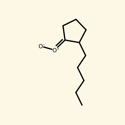 CCCCCC1CCCC1=[O+][O-]